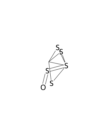 O=S=S123SC1(S2)S3